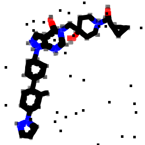 Cc1cc(-n2cccn2)ccc1-c1ccc(-n2ncc3c(=O)n(CC4(O)CCN(C(=O)C5CC5)CC4)cnc32)cc1